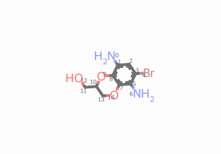 Nc1cc(Br)c(N)c2c1OC(CO)CO2